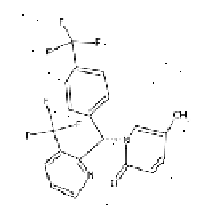 Cc1ccc(=O)n([C@@H](c2ccc(C(F)(F)F)cc2)c2ncccc2C(F)(F)F)c1